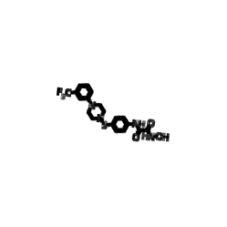 O=C(NO)C(=O)Nc1ccc(SN2CCN(c3cccc(C(F)(F)F)c3)CC2)cc1